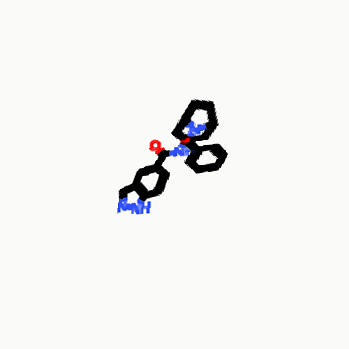 O=C(NC1CC2CCC(C1)N2Cc1ccccc1)c1ccc2[nH]ncc2c1